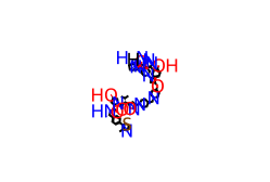 Cc1ncsc1-c1ccc([C@H](C)NC(=O)[C@@H]2C[C@@H](O)CN2C(=O)[C@@H](c2cc(N3CCC(CN4CCC(OC5CC(N6CCC(C(=O)N7C8CC[C@@H]7CN(c7cc(-c9ccccc9O)nnc7N)C8)CC6)C5)CC4)CC3)no2)C(C)C)cc1